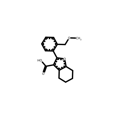 COCc1ccccc1-c1oc2c(c1C(=O)O)CCCC2